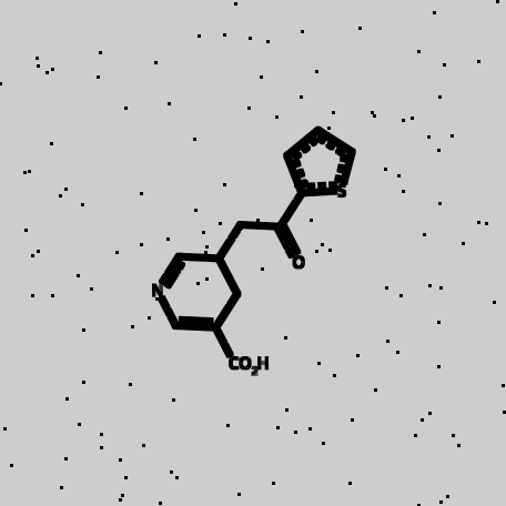 O=C(O)C1=CN=CC(CC(=O)c2cccs2)C1